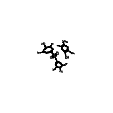 CCCCc1cc(C(C)(C)C)c(O)cc1C.O=S(=O)(c1cc(Br)c(O)c(Br)c1)c1cc(Br)c(O)c(Br)c1